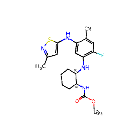 Cc1cc(Nc2cc(N[C@@H]3CCCC[C@@H]3NC(=O)OC(C)(C)C)c(F)cc2C#N)sn1